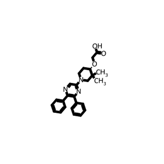 CC1(C)CN(c2cnc(-c3ccccc3)c(-c3ccccc3)n2)CC[C@@H]1OCC(=O)O